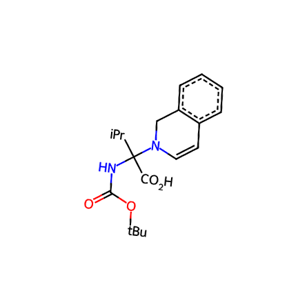 CC(C)C(NC(=O)OC(C)(C)C)(C(=O)O)N1C=Cc2ccccc2C1